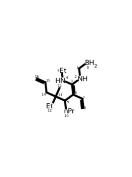 BCN/C(NCC)=C(\C=C)C(CCC)C(C)(CC)CC=C